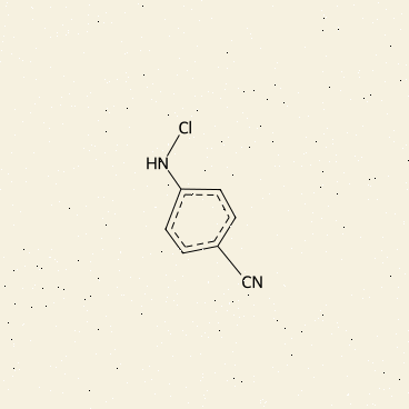 N#Cc1ccc(NCl)cc1